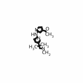 C=NCC(C)(C)c1ccc(Nc2cc(C(C)=O)ccn2)nc1